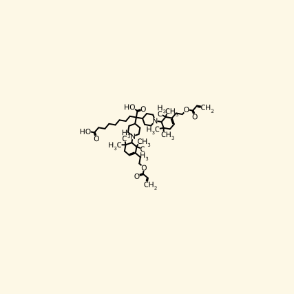 C=CC(=O)OCCC1=CCC(C)(C)C(N2CCC(C(CCCCCCCC(=O)O)(C(=O)O)C3CCN(C4C(C)(C)CC=C(CCOC(=O)C=C)C4(C)C)CC3)CC2)C1(C)C